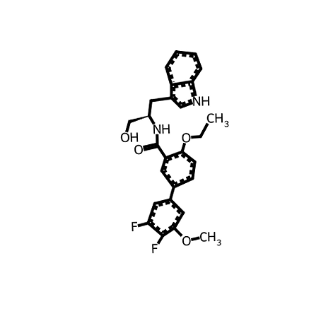 CCOc1ccc(-c2cc(F)c(F)c(OC)c2)cc1C(=O)N[C@@H](CO)Cc1c[nH]c2ccccc12